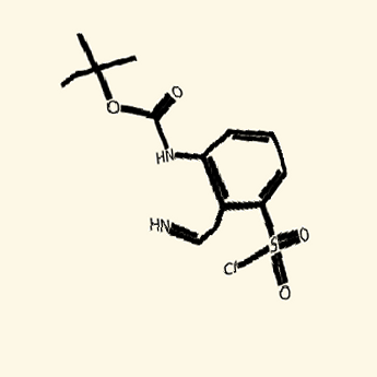 CC(C)(C)OC(=O)Nc1cccc(S(=O)(=O)Cl)c1C=N